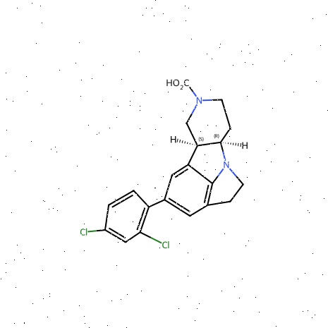 O=C(O)N1CC[C@@H]2[C@H](C1)c1cc(-c3ccc(Cl)cc3Cl)cc3c1N2CC3